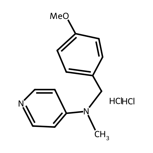 COc1ccc(CN(C)c2ccncc2)cc1.Cl.Cl